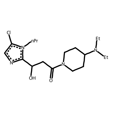 CCCn1c(Cl)cnc1C(O)CC(=O)N1CCC(N(CC)CC)CC1